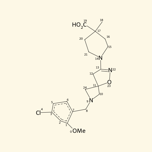 COc1cc(Cl)ccc1CN1CC2(CC(N3CCC(C)(C(=O)O)CC3)=NO2)C1